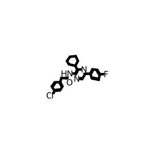 O=C(Cc1ccc(Cl)cc1)Nc1ncc(-c2ccc(F)cc2)nc1C1CCCCC1